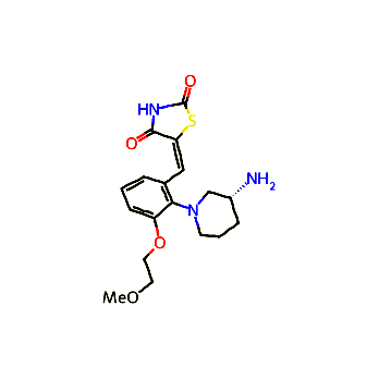 COCCOc1cccc(C=C2SC(=O)NC2=O)c1N1CCC[C@@H](N)C1